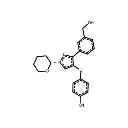 N#Cc1ccc(Oc2cn([C@H]3CCCCO3)nc2-c2cccc(CO)c2)cc1